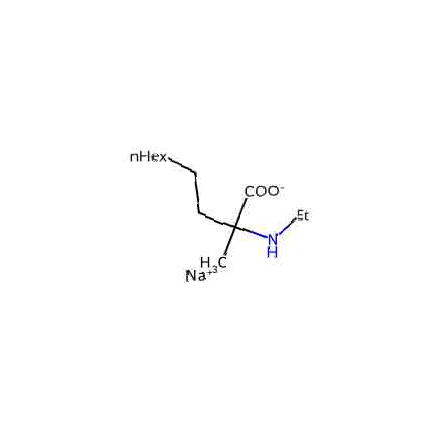 CCCCCCCCC(C)(NCC)C(=O)[O-].[Na+]